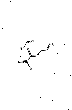 C=CC#N.C=CCOC(=O)C(=C)O